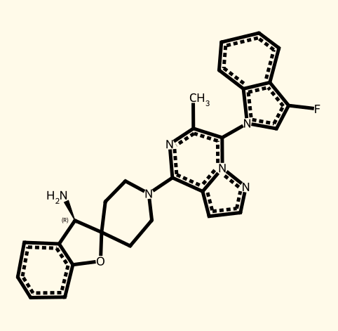 Cc1nc(N2CCC3(CC2)Oc2ccccc2[C@H]3N)c2ccnn2c1-n1cc(F)c2ccccc21